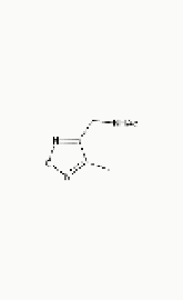 CC(=O)NCc1nonc1C